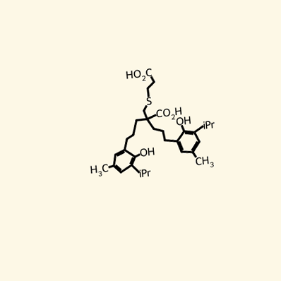 Cc1cc(CCCC(CCCc2cc(C)cc(C(C)C)c2O)(CSCCC(=O)O)C(=O)O)c(O)c(C(C)C)c1